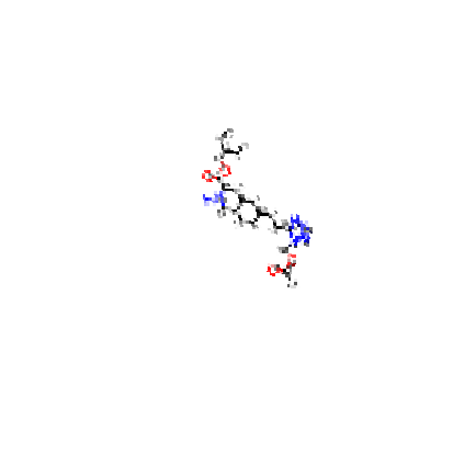 CCC(CC)COC(=O)C1CC2CC(CCc3nnnn3COC(C)=O)CCC2CN1